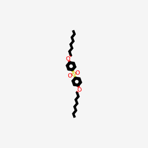 CCCCCCCCOc1ccc(S(=O)(=O)c2ccc(OCCCCCCCC)cc2)cc1